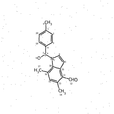 Cc1ccc([S+]([O-])n2ccc3c(C=O)c(C)cc(C)c32)cc1